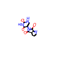 O=C1c2cccnc2C(=O)N1c1c[nH]c(=O)[nH]c1=O